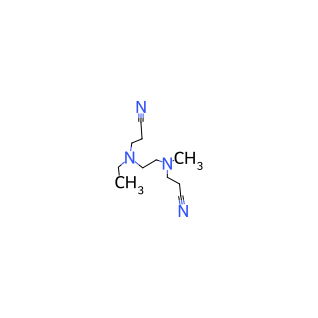 CCN(CCC#N)CCN(C)CCC#N